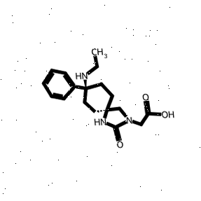 CCN[C@]1(c2ccccc2)CC[C@]2(CC1)CN(CC(=O)O)C(=O)N2